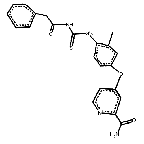 Cc1cc(Oc2ccnc(C(N)=O)c2)ccc1NC(=S)NC(=O)Cc1ccccc1